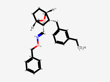 O=C(O)Cc1cccc(C[C@@H]2[C@H](C=NOCc3ccccc3)[C@@H]3CC[C@H]2O3)c1